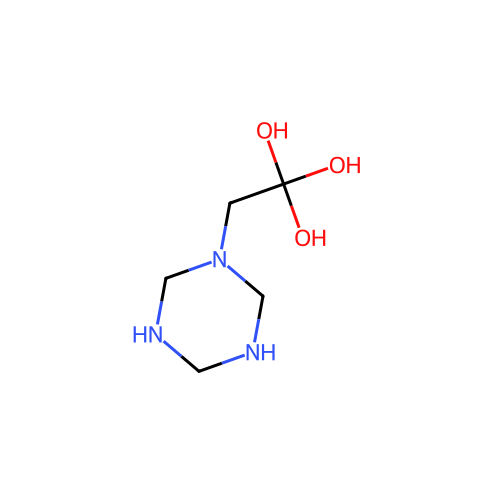 OC(O)(O)CN1CNCNC1